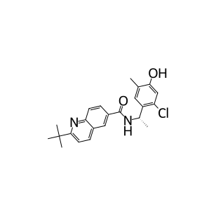 Cc1cc([C@H](C)NC(=O)c2ccc3nc(C(C)(C)C)ccc3c2)c(Cl)cc1O